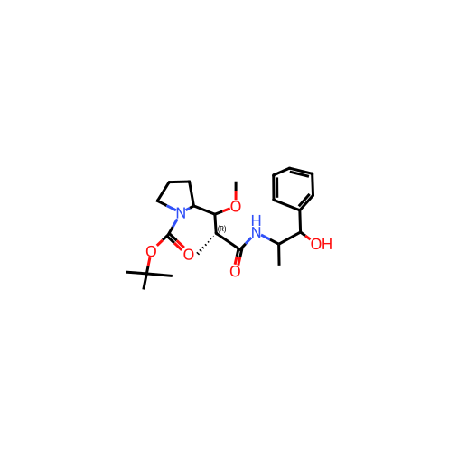 COC(C1CCCN1C(=O)OC(C)(C)C)[C@@H](C)C(=O)NC(C)C(O)c1ccccc1